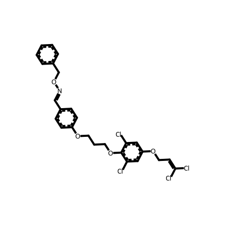 ClC(Cl)=CCOc1cc(Cl)c(OCCCOc2ccc(C=NOCc3ccccc3)cc2)c(Cl)c1